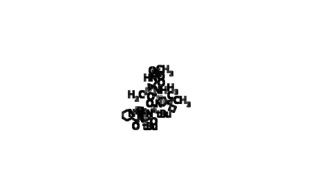 C=C[C@@H]1C[C@]1(NC(=O)[C@@H]1C[C@@]2(CN1C(=O)[C@@H](NC(=O)[C@@H](NC(=O)C1CCCCN1C(C)C)C(C)(C)C)C(C)(C)C)C(C)(C)C21CCC1)C(=O)NS(C)(=O)=O